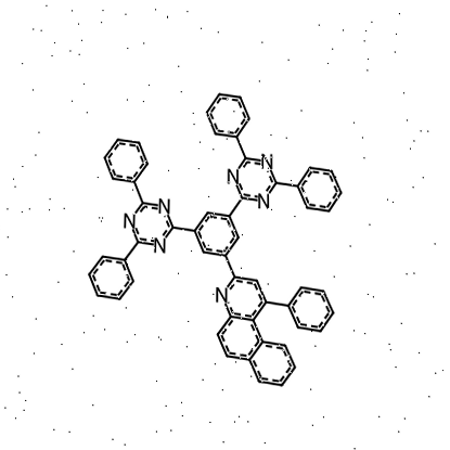 c1ccc(-c2nc(-c3ccccc3)nc(-c3cc(-c4cc(-c5ccccc5)c5c(ccc6ccccc65)n4)cc(-c4nc(-c5ccccc5)nc(-c5ccccc5)n4)c3)n2)cc1